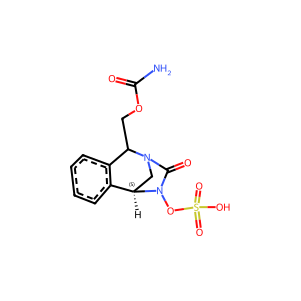 NC(=O)OCC1c2ccccc2[C@H]2CN1C(=O)N2OS(=O)(=O)O